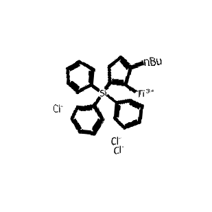 CCCCC1=CCC([Si](c2ccccc2)(c2ccccc2)c2ccccc2)=[C]1[Ti+3].[Cl-].[Cl-].[Cl-]